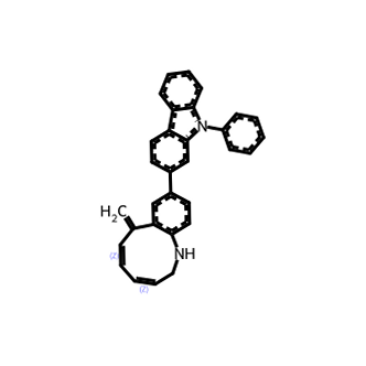 C=C1/C=C\C=C/CNc2ccc(-c3ccc4c5ccccc5n(-c5ccccc5)c4c3)cc21